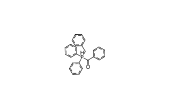 O=C(c1ccccc1)[PH](Cc1ccccc1)(c1ccccc1)c1ccccc1